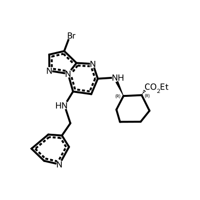 CCOC(=O)[C@@H]1CCCC[C@H]1Nc1cc(NCc2cccnc2)n2ncc(Br)c2n1